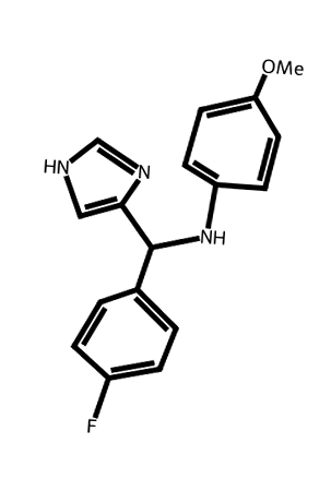 COc1ccc(NC(c2ccc(F)cc2)c2c[nH]cn2)cc1